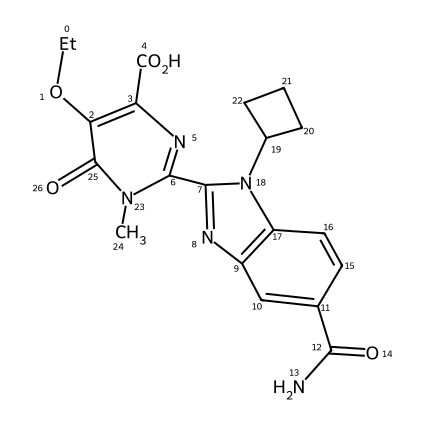 CCOc1c(C(=O)O)nc(-c2nc3cc(C(N)=O)ccc3n2C2CCC2)n(C)c1=O